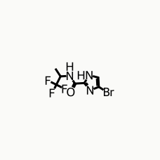 CC(NC(=O)c1nc(Br)c[nH]1)C(F)(F)F